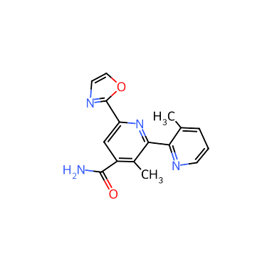 Cc1cccnc1-c1nc(-c2ncco2)cc(C(N)=O)c1C